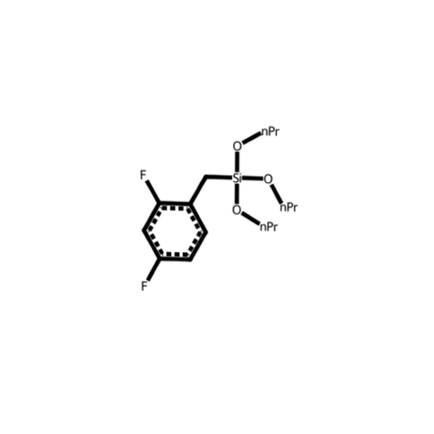 CCCO[Si](Cc1ccc(F)cc1F)(OCCC)OCCC